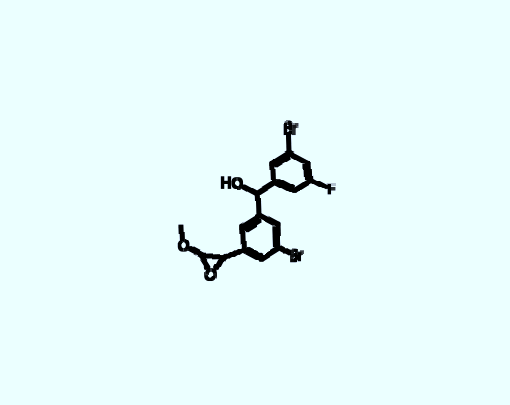 COC1OC1c1cc(Br)cc(C(O)c2cc(F)cc(Br)c2)c1